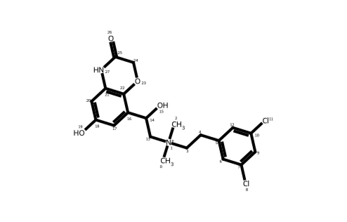 C[N+](C)(CCc1cc(Cl)cc(Cl)c1)CC(O)c1cc(O)cc2c1OCC(=O)N2